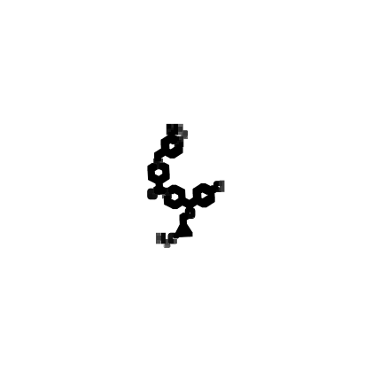 C[C@H]1CC1COC(c1ccc(Cl)cc1)C1CCN(C(=O)C2CCN(Cc3ccnc(N)c3)CC2)CC1